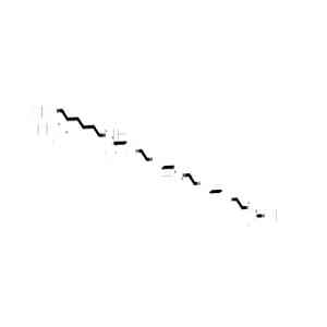 CC(=O)NCCOCCOCC(=O)NCCOCCOCC(=O)NCCCC[C@H](N)C(=O)O